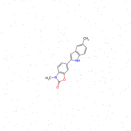 Cc1ccc2[nH]c(-c3ccc4c(c3)oc(=O)n4C)cc2c1